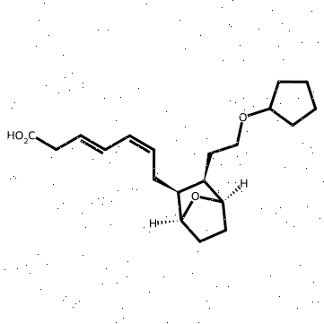 O=C(O)CC=C/C=C\C[C@H]1[C@@H](CCOC2CCCC2)[C@H]2CC[C@@H]1O2